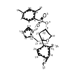 Cc1ccc(S(=O)(=O)O[C@@H]2CO[C@@](Cn3cncn3)(c3ccc(F)cc3F)C2)c(C)c1